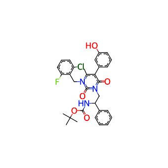 Cc1c(-c2cccc(O)c2)c(=O)n(CC(NC(=O)OC(C)(C)C)c2ccccc2)c(=O)n1Cc1c(F)cccc1Cl